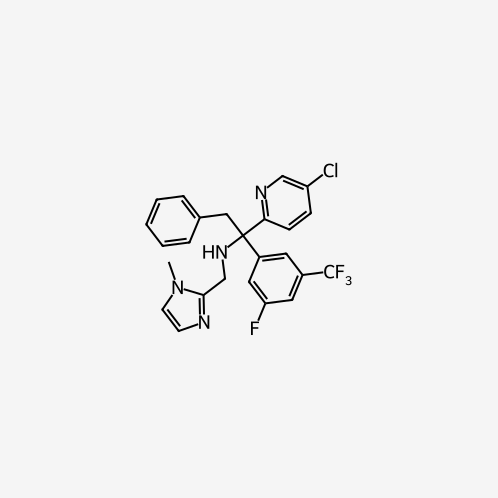 Cn1ccnc1CNC(Cc1ccccc1)(c1cc(F)cc(C(F)(F)F)c1)c1ccc(Cl)cn1